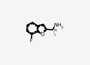 C[C@@H](N)c1cc2cccc(F)c2o1